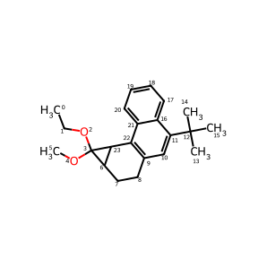 CCOC1(OC)C2CCc3cc(C(C)(C)C)c4ccccc4c3C21